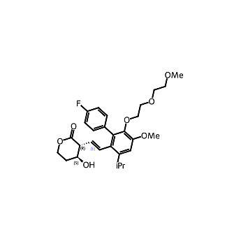 COCCOCCOc1c(OC)cc(C(C)C)c(/C=C/[C@H]2C(=O)OCC[C@@H]2O)c1-c1ccc(F)cc1